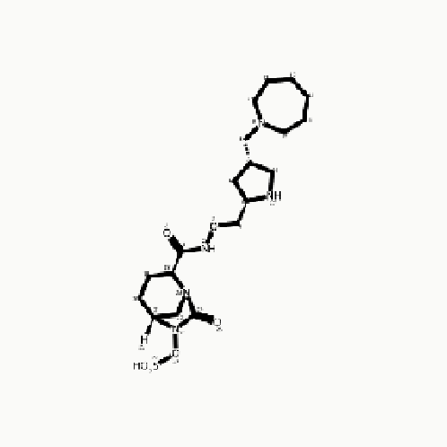 O=C(NOC[C@H]1C[C@H](CN2CCCCCC2)CN1)[C@@H]1CC[C@@H]2CN1C(=O)N2OS(=O)(=O)O